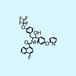 O=C(NC(Cc1cccc(OC(F)(F)C(F)F)c1)C(O)c1ccc(Oc2ccccn2)cc1)c1ccc(F)c2ccccc12